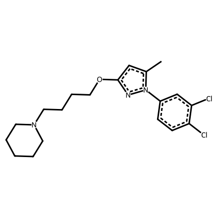 Cc1cc(OCCCCN2CCCCC2)nn1-c1ccc(Cl)c(Cl)c1